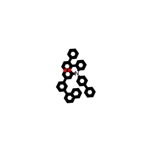 c1ccc(-c2ccc(N(c3cccc(-c4cccc(-c5cccc6ccccc56)c4)c3)c3ccccc3-c3ccccc3-c3ccccc3)cc2)cc1